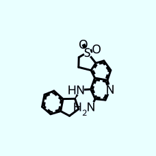 Nc1cnc2ccc3c(c2c1N[C@H]1CCc2ccccc21)CCS3(=O)=O